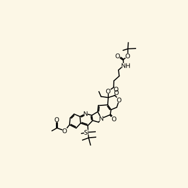 CCC1(OC(=O)CCCNC(=O)OC(C)(C)C)C(=O)OCc2c1cc1n(c2=O)Cc2c-1nc1ccc(OC(C)=O)cc1c2[Si](C)(C)C(C)(C)C